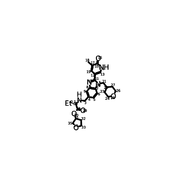 CC[C@H](NCc1ccc2c(c1)nc(-c1c[nH]c(=O)c(C)c1)n2CC1CCOCC1)C(=O)OC1CCOC1